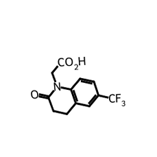 O=C(O)CN1C(=O)CCc2cc(C(F)(F)F)ccc21